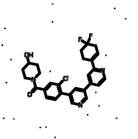 O=C(c1ccc(-c2cncc(-c3ccnc(C4=CCC(F)(F)CC4)c3)c2)c(Cl)c1)N1CCC(O)CC1